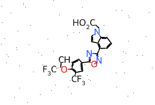 C[C@H](Oc1ccc(-c2nc(-c3cccc4c3ccn4CC(=O)O)no2)cc1C(F)(F)F)C(F)(F)F